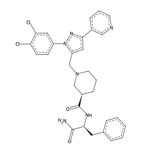 NC(=O)[C@H](Cc1ccccc1)NC(=O)[C@@H]1CCCN(Cc2cc(-c3cccnc3)nn2-c2ccc(Cl)c(Cl)c2)C1